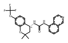 CC1(C)C[C@@H](NC(=O)Nc2cccc3cnccc23)c2ccc(OC(F)(F)F)cc2O1